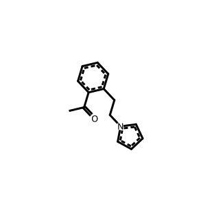 CC(=O)c1ccccc1CCn1cccc1